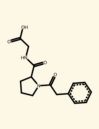 O=C(O)CNC(=O)C1CCCN1C(=O)Cc1ccccc1